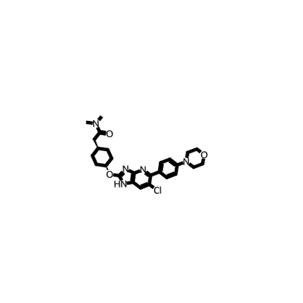 CN(C)C(=O)C[C@H]1CC[C@H](Oc2nc3nc(-c4ccc(N5CCOCC5)cc4)c(Cl)cc3[nH]2)CC1